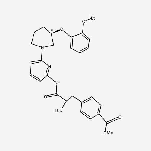 CCOc1ccccc1O[C@@H]1CCCN(c2cncc(NC(=O)C(C)Cc3ccc(C(=O)OC)cc3)n2)C1